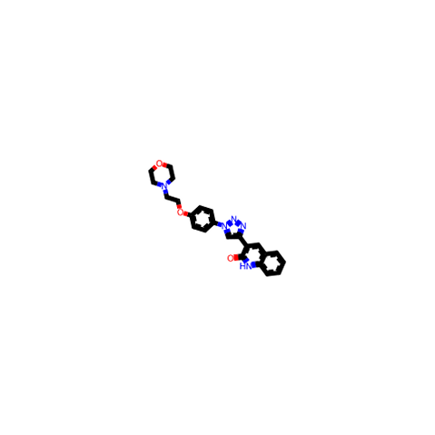 O=c1[nH]c2ccccc2cc1-c1cn(-c2ccc(OCCN3CCOCC3)cc2)nn1